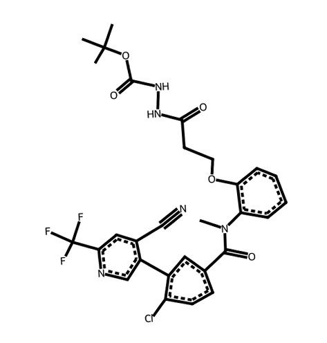 CN(C(=O)c1ccc(Cl)c(-c2cnc(C(F)(F)F)cc2C#N)c1)c1ccccc1OCCC(=O)NNC(=O)OC(C)(C)C